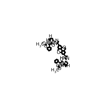 COC(=O)N[C@@H](C(=O)N1[C@@H]2C[C@@H]2C[C@H]1c1ncc(-c2cc3c4c(c2)OCc2cc(-c5cnc([C@@H]6C[C@H]7C[C@H]7N6C(=O)[C@H](NC(=O)OC)c6ccccc6)[nH]5)cc(c2-4)OC3)[nH]1)c1ccccc1